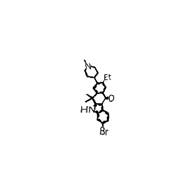 CCc1cc2c(cc1C1CCN(C)CC1)C(C)(C)c1[nH]c3cc(Br)ccc3c1C2=O